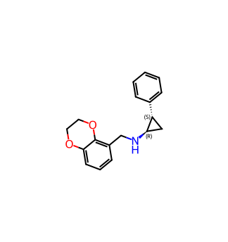 c1ccc([C@@H]2C[C@H]2NCc2cccc3c2OCCO3)cc1